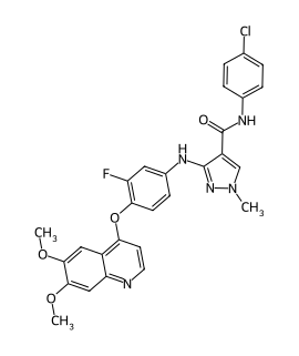 COc1cc2nccc(Oc3ccc(Nc4nn(C)cc4C(=O)Nc4ccc(Cl)cc4)cc3F)c2cc1OC